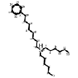 CCCCCC[SiH](CCCCCC)CCCCCCCCc1ccccc1